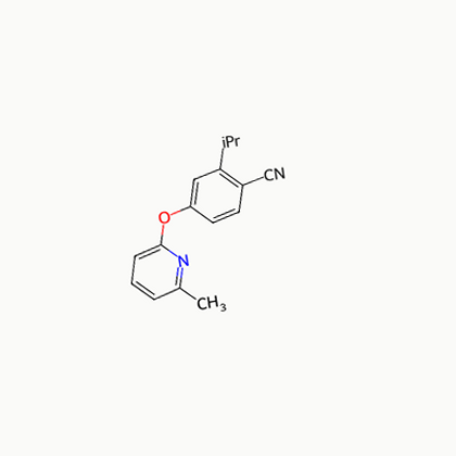 Cc1cccc(Oc2ccc(C#N)c(C(C)C)c2)n1